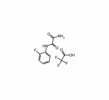 NC(=O)C(=O)Nc1ccccc1F.O=C(O)C(F)(F)F